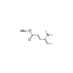 CC=C(C=CC(=O)OCCCC)N(C)C